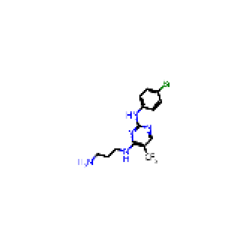 NCCCNc1nc(Nc2ccc(Br)cc2)ncc1C(F)(F)F